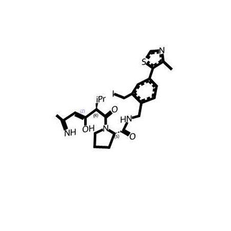 CC(=N)/C=C(\O)[C@H](C(=O)N1CCC[C@H]1C(=O)NCc1ccc(-c2scnc2C)cc1CI)C(C)C